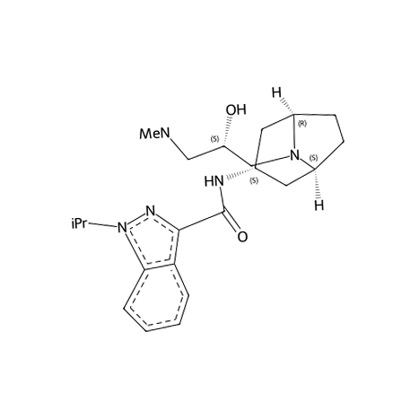 CNC[C@H](O)CN1[C@@H]2CC[C@H]1C[C@H](NC(=O)c1nn(C(C)C)c3ccccc13)C2